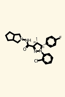 C[C@H]1C(C(=O)NN2CC3CCCC3C2)=NN(c2ccccc2Cl)[C@H]1c1ccc(F)cc1